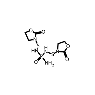 NP(=O)(NSN1CCOC1=O)NSN1CCOC1=O